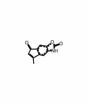 CC1=CC(=O)c2cc3oc(=O)[nH]c3cc21